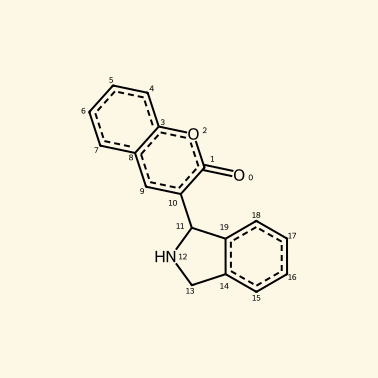 O=c1oc2ccccc2cc1C1NCc2ccccc21